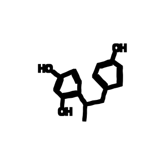 CC(Cc1ccc(O)cc1)c1ccc(O)cc1O